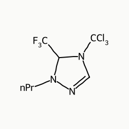 CCCN1N=CN(C(Cl)(Cl)Cl)C1C(F)(F)F